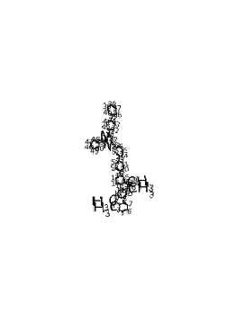 CC1(C)c2ccccc2-c2cc3c(cc21)-c1ccc(-c2ccc(-c4cccc(-c5cc(C6=CC=C(c7ccccc7)CC6)nc(-c6ccccc6)n5)c4)cc2)cc1C3(C)C